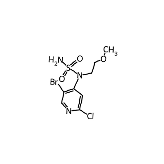 COCCN(c1cc(Cl)ncc1Br)S(N)(=O)=O